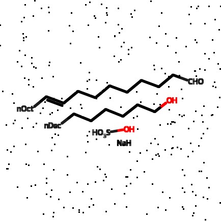 CCCCCCCCC=CCCCCCCCC=O.CCCCCCCCCCCCCCCCO.O=S(=O)(O)O.[NaH]